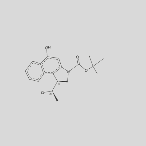 C[C@@H](Cl)[C@@H]1CN(C(=O)OC(C)(C)C)c2cc(O)c3ccccc3c21